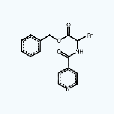 CC(C)C(NC(=O)c1ccncc1)C(=O)OCc1ccccc1